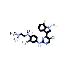 CN(C)CCN(C)c1ccc(Nc2ncc(Cl)c(-c3cn(C)c4c(F)cccc34)n2)cc1[N+](=O)[O-]